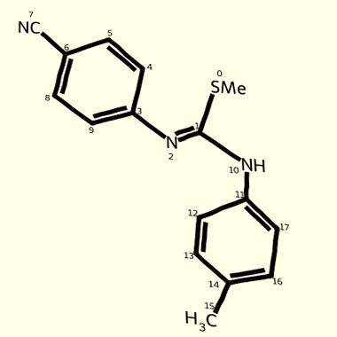 CS/C(=N\c1ccc(C#N)cc1)Nc1ccc(C)cc1